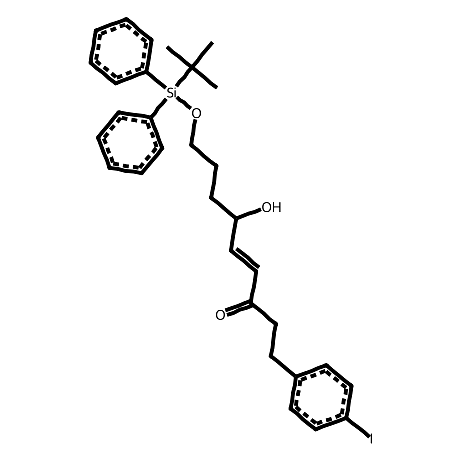 CC(C)(C)[Si](OCCCC(O)C=CC(=O)CCc1ccc(I)cc1)(c1ccccc1)c1ccccc1